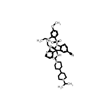 CCOc1cc(OC)ccc1S(=O)(=O)N1C(=O)C(NC(=O)N2CCC(C3CCN(C(C)C)CC3)CC2)(c2cccnc2OCC)c2cc(C#N)ccc21